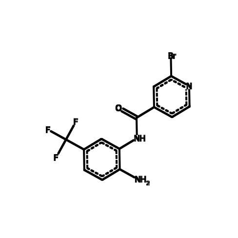 Nc1ccc(C(F)(F)F)cc1NC(=O)c1ccnc(Br)c1